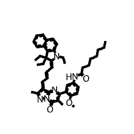 CCCCCCCC(=O)Nc1ccc(OC)c(-c2nc3\c(=C/C=C/C=C4/N(CC)c5ccc6ccccc6c5C4(CC)CC)c(C)nn3c(=O)c2C)c1